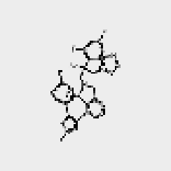 Cn1cc(-c2ccnc3c2C(=O)N(CC(O)(Cn2cncn2)c2ccc(F)cc2F)C3)c(-c2ccc(F)cc2)n1